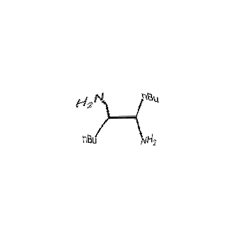 CCCCC(N)C(N)CCCC